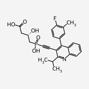 Cc1cc(-c2c(C#CP(=O)(O)C[C@@H](O)CC(=O)O)c(C(C)C)nc3ccccc23)ccc1F